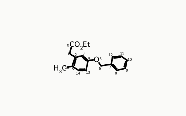 CCOC(=O)Cc1cc(OCc2ccccc2)ccc1C